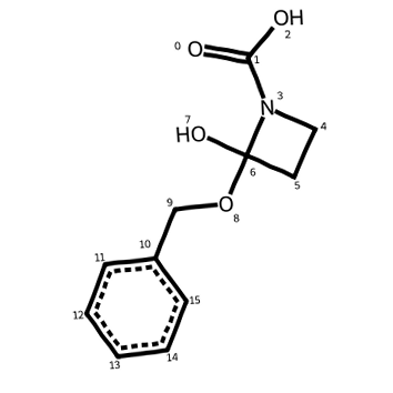 O=C(O)N1CCC1(O)OCc1ccccc1